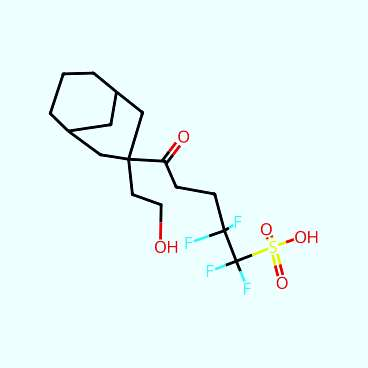 O=C(CCC(F)(F)C(F)(F)S(=O)(=O)O)C1(CCO)CC2CCCC(C2)C1